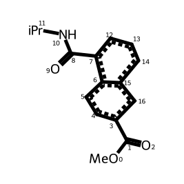 COC(=O)c1ccc2c(C(=O)NC(C)C)cccc2c1